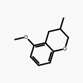 [CH2]C1COc2cccc(OC)c2C1